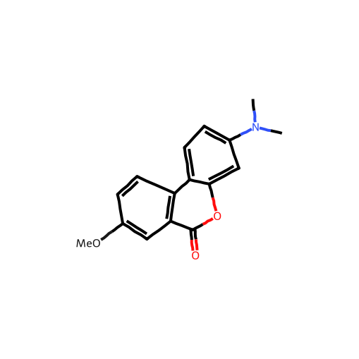 COc1ccc2c(c1)c(=O)oc1cc(N(C)C)ccc12